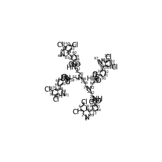 CN1Cc2c(Cl)cc(Cl)cc2C(c2cccc(S(=O)(=O)NCCCN(CCCCN(CCCNS(=O)(=O)c3cccc(C4CN(C)Cc5c(Cl)cc(Cl)cc54)c3)CCCNS(=O)(=O)c3cccc(C4CN(C)Cc5c(Cl)cc(Cl)cc54)c3)CCCNS(=O)(=O)c3cccc(C4CN(C)Cc5c(Cl)cc(Cl)cc54)c3)c2)C1